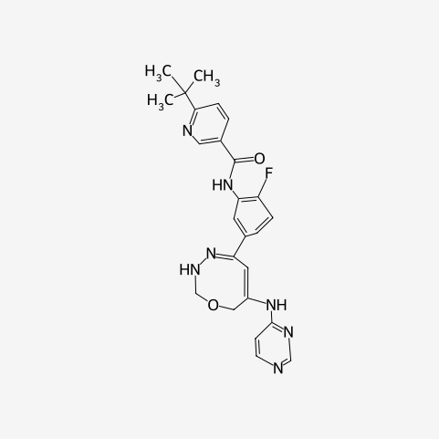 CC(C)(C)c1ccc(C(=O)Nc2cc(C3=N/NCOC/C(Nc4ccncn4)=C\3)ccc2F)cn1